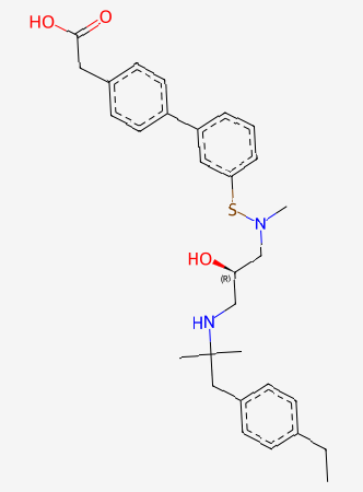 CCc1ccc(CC(C)(C)NC[C@@H](O)CN(C)Sc2cccc(-c3ccc(CC(=O)O)cc3)c2)cc1